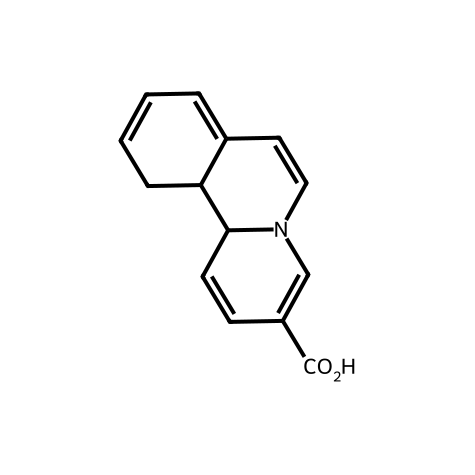 O=C(O)C1=CN2C=CC3=CC=CCC3C2C=C1